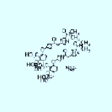 CN(C)C(=O)[C@@H]1C[C@H](CC(=O)N2CC(Oc3ccc4c(c3C(=O)O)O[B-](O)(O)CC4)C2)CN1.CN(C)C(=O)[C@@H]1C[C@H](CC(=O)N2CC(Oc3ccc4c(c3C(=O)O)O[B-](O)(O)CC4)C2)CN1.[Na+].[Na+]